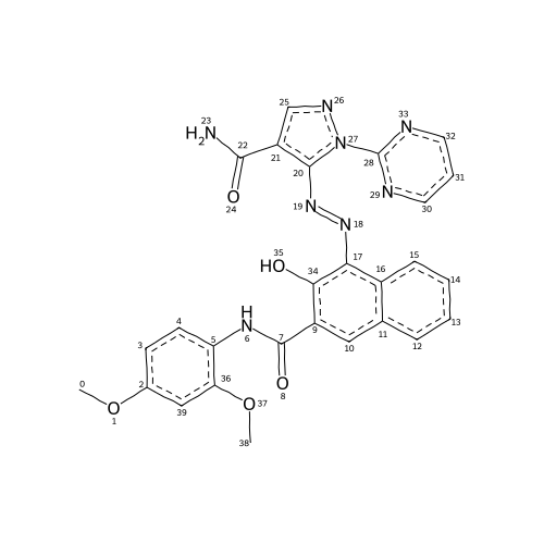 COc1ccc(NC(=O)c2cc3ccccc3c(/N=N/c3c(C(N)=O)cnn3-c3ncccn3)c2O)c(OC)c1